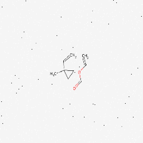 C=CC1(C)CC1.C=COC=O